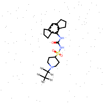 [2H]C([2H])([2H])C([2H])([2H])N1CCC(S(=O)(=O)NC(=O)Nc2c3c(cc4c2CCC4)CCC3)CC1